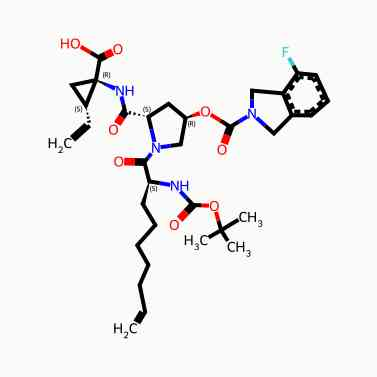 C=CCCCCC[C@H](NC(=O)OC(C)(C)C)C(=O)N1C[C@H](OC(=O)N2Cc3cccc(F)c3C2)C[C@H]1C(=O)N[C@]1(C(=O)O)C[C@H]1C=C